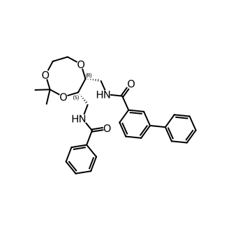 CC1(C)OCCO[C@H](CNC(=O)c2cccc(-c3ccccc3)c2)[C@H](CNC(=O)c2ccccc2)O1